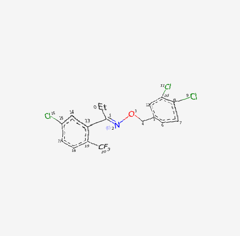 CC/C(=N\OCc1ccc(Cl)c(Cl)c1)c1cc(Cl)ccc1C(F)(F)F